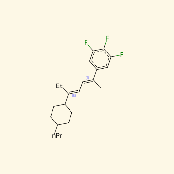 CCCC1CCC(/C(=C/C=C(\C)c2cc(F)c(F)c(F)c2)CC)CC1